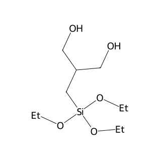 CCO[Si](CC(CO)CO)(OCC)OCC